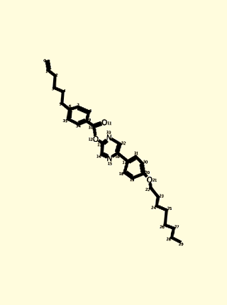 C=CCCCCc1ccc(C(=O)Oc2cnc(-c3ccc(OCCCCCCCC)cc3)cn2)cc1